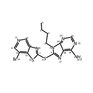 CCCCn1c(Sc2nc3cncc(Br)c3s2)nc2c(N)ncnc21